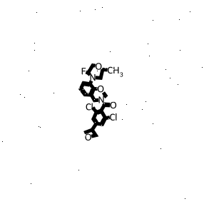 CC1CN(c2cccc3c2OCN(C(=O)c2c(Cl)cc(C4COC4)cc2Cl)C3)C(F)CO1